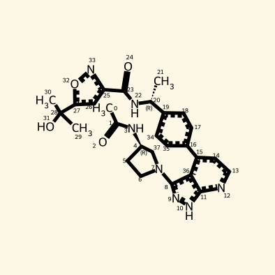 CC(=O)N[C@@H]1CCN(c2n[nH]c3nccc(-c4ccc([C@@H](C)NC(=O)c5cc(C(C)(C)O)on5)cc4)c23)C1